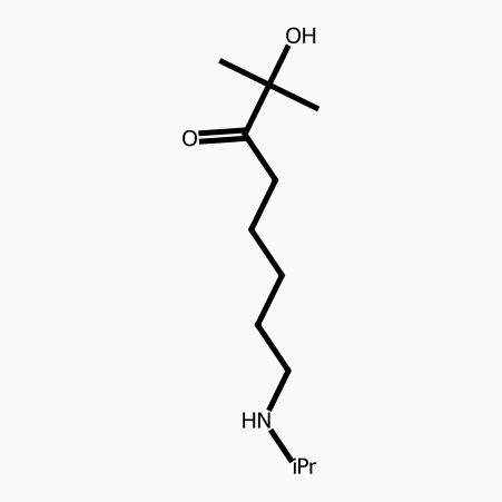 CC(C)NCCCCCC(=O)C(C)(C)O